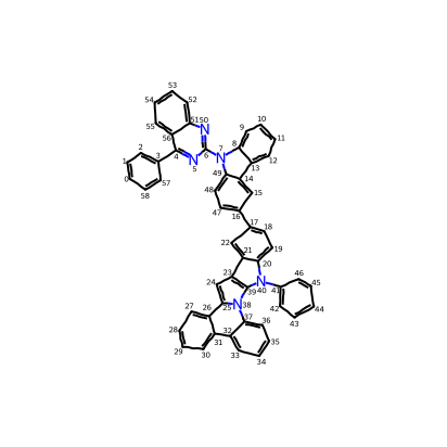 c1ccc(-c2nc(-n3c4ccccc4c4cc(-c5ccc6c(c5)c5cc7c8ccccc8c8ccccc8n7c5n6-c5ccccc5)ccc43)nc3ccccc23)cc1